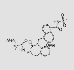 CN[C@@H](C)C(=O)N[C@H]1CCc2ccccc2N(Cc2c(OC)ccc3c(C(=O)NS(C)(=O)=O)cccc23)C1=O